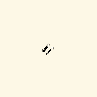 [O]=[Sn].[Ta][Ir]